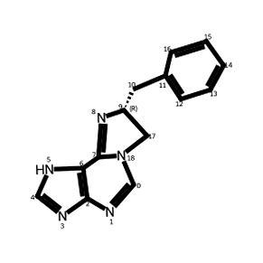 C1=Nc2nc[nH]c2C2=N[C@H](Cc3ccccc3)CN12